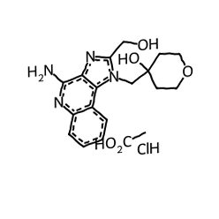 CC(=O)O.Cl.Nc1nc2ccccc2c2c1nc(CO)n2CC1(O)CCOCC1